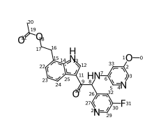 COc1cncc(NC(C(=O)c2c[nH]c3c(CCOC(C)=O)cccc23)c2cncc(F)c2)c1